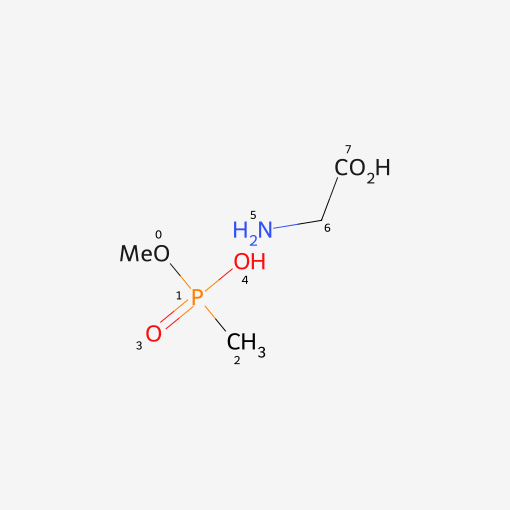 COP(C)(=O)O.NCC(=O)O